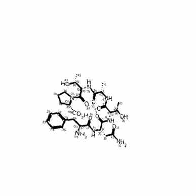 C[C@H](NC(=O)[C@@H](NC(=O)[C@H](CC(N)=O)NC(=O)[C@@H](N)Cc1ccccc1)[C@@H](C)O)C(=O)N[C@H](C(=O)N1CCC[C@H]1C(=O)O)[C@@H](C)O